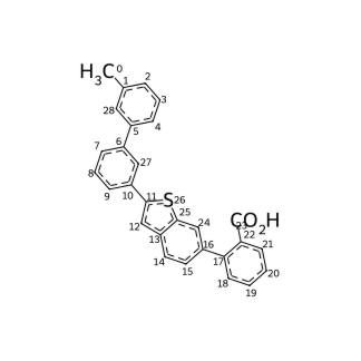 Cc1cccc(-c2cccc(-c3cc4ccc(-c5ccccc5C(=O)O)cc4s3)c2)c1